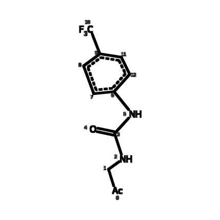 CC(=O)CNC(=O)Nc1ccc(C(F)(F)F)cc1